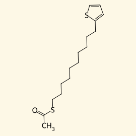 CC(=O)SCCCCCCCCCCc1cccs1